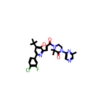 Cc1cncc(N2CCN(C(=O)c3cc4nc(-c5ccc(Cl)c(F)c5)cc(C(C)(C)C)c4o3)C(C)(C)C2=O)n1